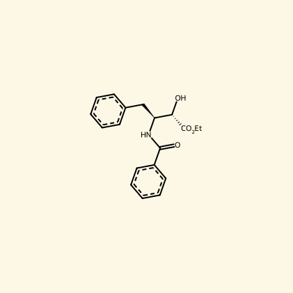 CCOC(=O)[C@@H](O)[C@H](Cc1ccccc1)NC(=O)c1ccccc1